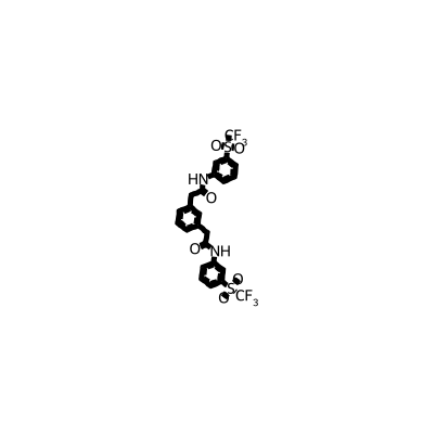 O=C(Cc1cccc(CC(=O)Nc2cccc(S(=O)(=O)C(F)(F)F)c2)c1)Nc1cccc(S(=O)(=O)C(F)(F)F)c1